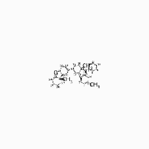 CC1=CC=C[C@H](N(c2ccccc2)C2(C)C=CC(C3=CCC4OC5CCCCC5(C)C4=C3)=CC2)C1